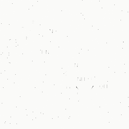 O=C(Nc1nc2ccc(Nc3cncc(C(F)(F)F)c3)cc2s1)[C@@H]1C2C=CC(C2)[C@@H]1C(=O)O